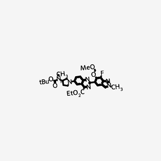 CCOC(=O)c1nc(-c2cc3cn(C)nc3c(F)c2OCOC)nc2ccc(N3CC[C@@H](N(C)C(=O)OC(C)(C)C)C3)cc12